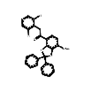 COc1ccc(C(=O)Cc2c(Cl)cncc2Cl)c2c1OC(c1ccccc1)(c1ccccc1)O2